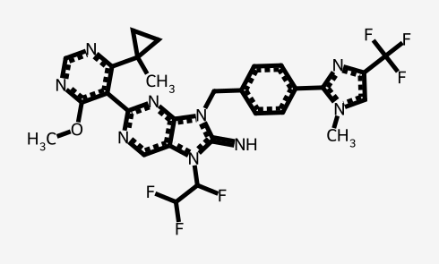 COc1ncnc(C2(C)CC2)c1-c1ncc2c(n1)n(Cc1ccc(-c3nc(C(F)(F)F)cn3C)cc1)c(=N)n2C(F)C(F)F